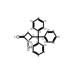 O=C1CC(C(c2ccccc2)(c2ccccc2)c2ccccc2)N1S